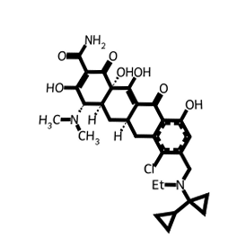 CCN(Cc1cc(O)c2c(c1Cl)C[C@H]1C[C@H]3[C@H](N(C)C)C(O)=C(C(N)=O)C(=O)[C@@]3(O)C(O)=C1C2=O)C1(C2CC2)CC1